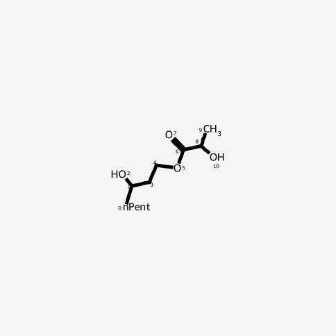 CCCCCC(O)CCOC(=O)C(C)O